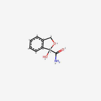 NC(=O)[B-]1(O)OCc2cc[c]cc21